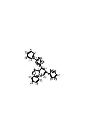 O=CC1C(c2nc(-c3ccccc3)no2)=CC(c2ccccn2)=CN1c1ccccc1